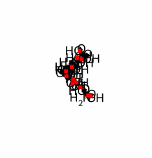 CC(C)C[C@H](N)C(=O)O.CC(C)[C@H](NC(=O)OC(C)(C)C)C(=O)O.C[C@@H](O)[C@H](N)C(=O)O.N[C@@H](CCC(=O)O)C(=O)O.N[C@@H](CCC(=O)O)C(=O)O.N[C@@H](Cc1c[nH]cn1)C(=O)O.O=C(O)[C@@H]1CCCN1